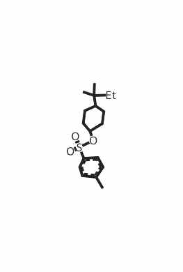 CCC(C)(C)C1CCC(OS(=O)(=O)c2ccc(C)cc2)CC1